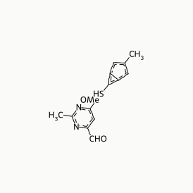 COc1cc(C=O)nc(C)n1.Cc1cc2c(S)c-2c1